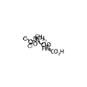 CC1(C)N=C(c2cc(Cl)cc(Cl)c2)C(=O)N1CCc1ccc(C(=O)NCCC(=O)O)cc1